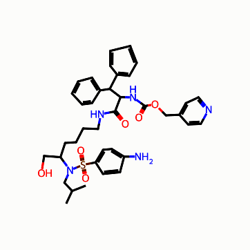 CC(C)CN(C(CO)CCCCNC(=O)C(NC(=O)OCc1ccncc1)C(c1ccccc1)c1ccccc1)S(=O)(=O)c1ccc(N)cc1